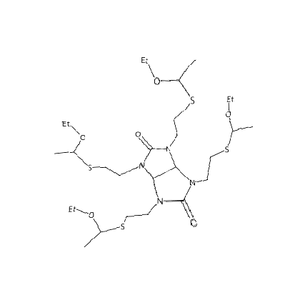 CCOC(C)SCCN1C(=O)N(CCSC(C)OCC)C2C1N(CCSC(C)OCC)C(=O)N2CCSC(C)OCC